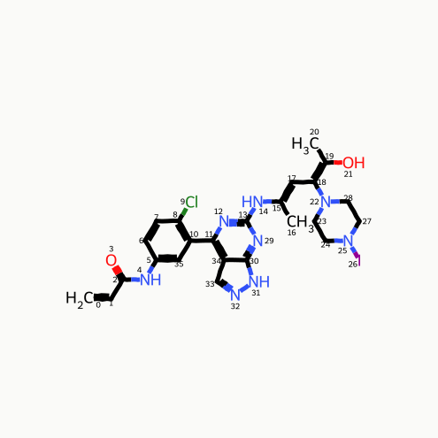 C=CC(=O)Nc1ccc(Cl)c(-c2nc(N/C(C)=C/C(=C(\C)O)N3CCN(I)CC3)nc3[nH]ncc23)c1